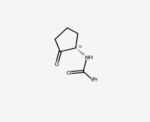 CC(C)C(=O)N[C@H]1CCCC1=O